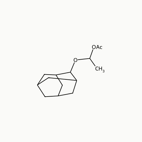 CC(=O)OC(C)OC1C2CC3CC(C2)CC1C3